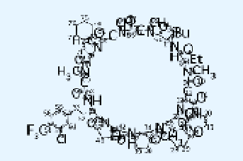 CC[C@H](C)[C@@H]1NC(=O)[C@H](CC)N(C)C(=O)C[C@@H](C(=O)N2CCOCC2)N(C)C(=O)[C@H](C2CCCCC2)N(C)C(=O)C2(CCCC2)NC(=O)[C@@H]2CCCN2C(=O)[C@H](CCc2ccc(C(F)(F)F)c(Cl)c2)NC(=O)CN(C)C(=O)[C@H](CC2CCCCC2)N(C)C(=O)CN(C)C(=O)CN(C)C1=O